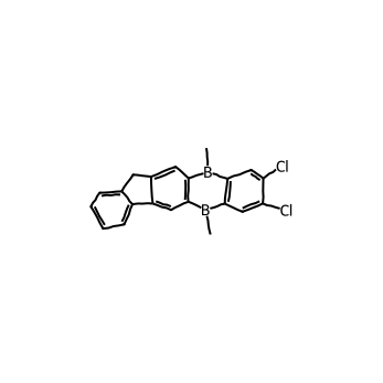 CB1c2cc(Cl)c(Cl)cc2B(C)c2cc3c(cc21)Cc1ccccc1-3